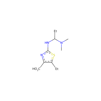 CCc1sc(NC(CC)N(C)C)nc1C(=O)O